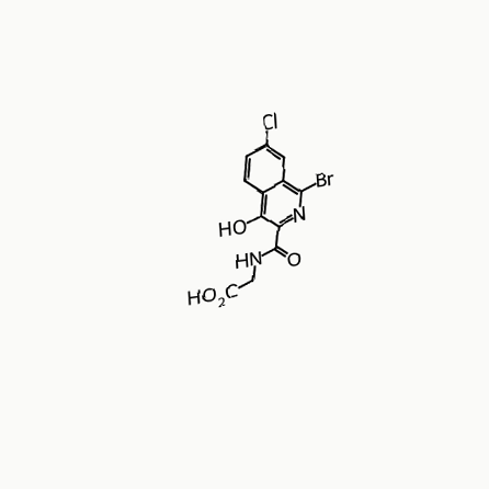 O=C(O)CNC(=O)c1nc(Br)c2cc(Cl)ccc2c1O